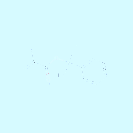 C=C(C)C(=O)OC(c1ccccc1)(C(F)(F)F)C(F)(F)F